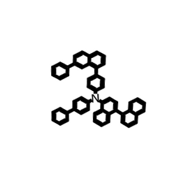 c1ccc(-c2ccc(N(c3ccc(-c4cccc5ccc(-c6ccccc6)cc45)cc3)c3ccc(-c4cccc5ccccc45)c4ccccc34)cc2)cc1